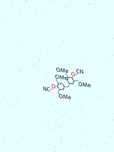 COCc1cc(Cc2cc(COC)c(OCC#N)c(COC)c2)cc(COC)c1OCC#N